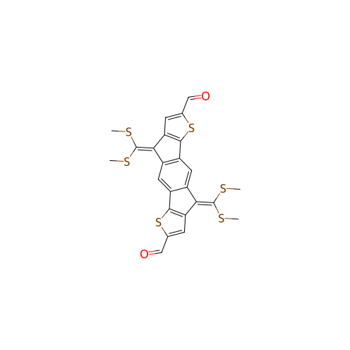 CSC(SC)=C1c2cc3c(cc2-c2sc(C=O)cc21)C(=C(SC)SC)c1cc(C=O)sc1-3